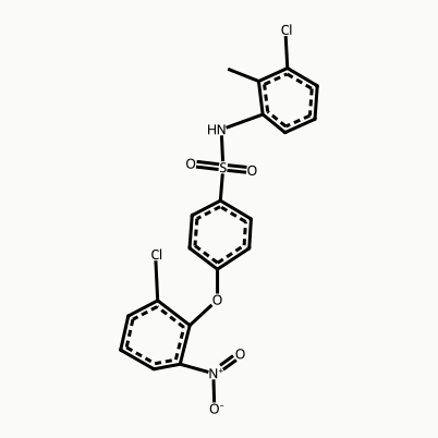 Cc1c(Cl)cccc1NS(=O)(=O)c1ccc(Oc2c(Cl)cccc2[N+](=O)[O-])cc1